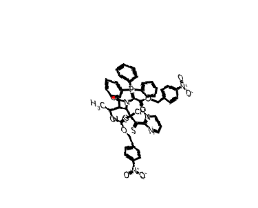 CC(OC(=O)OCc1ccc([N+](=O)[O-])cc1)C1C(=O)N(C(C(=O)OCc2ccc([N+](=O)[O-])cc2)=P(c2ccccc2)(c2ccccc2)c2ccccc2)C1C(C)(C)C(=S)c1ncccn1